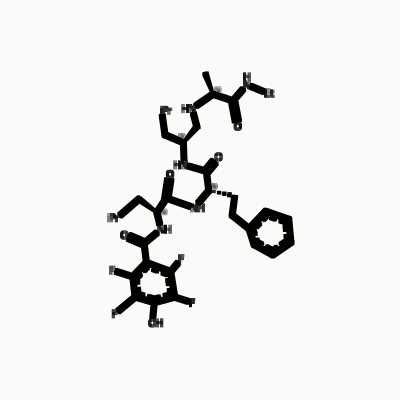 CCNC(=O)[C@H](C)NC[C@H](CC(C)C)NC(=O)[C@H](CCc1ccccc1)NC(=O)[C@H](CC(C)C)NC(=O)c1c(F)c(F)c(O)c(F)c1F